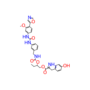 CCC(COC(=O)[C@H](N)Cc1ccc(O)cc1)OC(=O)NCc1cccc(NC(=O)Nc2ccc(-c3cnco3)c(OC)c2)c1